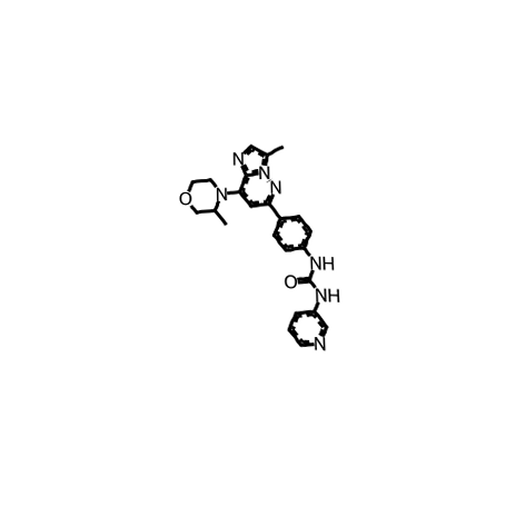 Cc1cnc2c(N3CCOCC3C)cc(-c3ccc(NC(=O)Nc4cccnc4)cc3)nn12